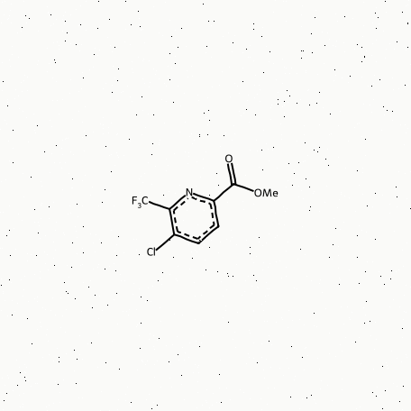 COC(=O)c1ccc(Cl)c(C(F)(F)F)n1